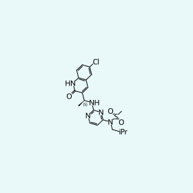 CC(C)CN(c1ccnc(N[C@@H](C)c2cc3cc(Cl)ccc3[nH]c2=O)n1)S(C)(=O)=O